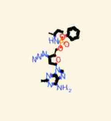 CC[C@H](C)NP(=O)(OC[C@H]1O[C@@H](n2cnc3c(N)nc(C)nc32)CC1N=[N+]=[N-])Oc1ccccc1